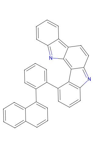 c1ccc(-c2cccc3ccccc23)c(-c2cccc3c2-c2c4c(ccc2=N3)=c2ccccc2=N4)c1